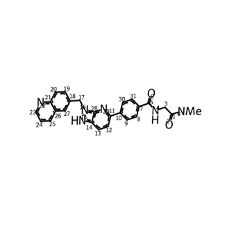 CNC(=O)CNC(=O)c1ccc(-c2ccc3[nH]n(Cc4ccc5ncccc5c4)c3n2)cc1